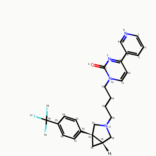 O=c1nc(-c2cccnc2)ccn1CCCCN1C[C@@H]2C[C@]2(c2ccc(C(F)(F)F)cc2)C1